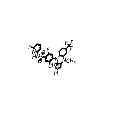 CN(C1CNC1)[C@H]1CC(C(F)(F)F)CC[C@@H]1Nc1cc(F)c(S(=O)(=O)Nc2cccc(F)n2)cc1Cl